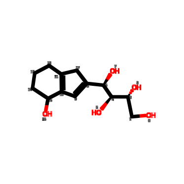 OC[C@@H](O)[C@@H](O)[C@H](O)C1=CC2=C(CCCC2O)C1